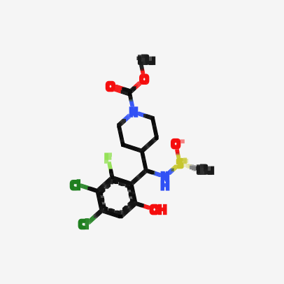 CC(C)(C)OC(=O)N1CCC(C(N[S@+]([O-])C(C)(C)C)c2c(O)cc(Cl)c(Cl)c2F)CC1